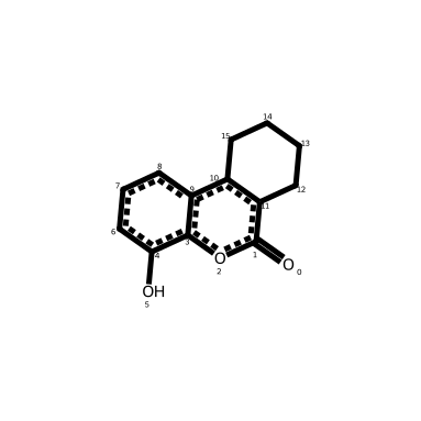 O=c1oc2c(O)cccc2c2c1CCCC2